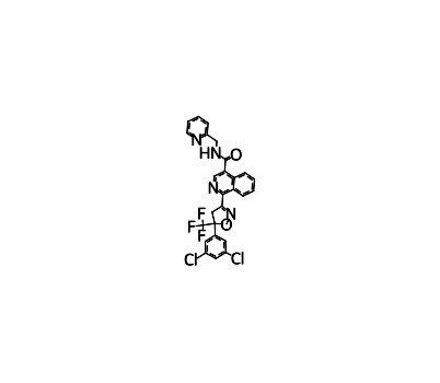 O=C(NCc1ccccn1)c1cnc(C2=NOC(c3cc(Cl)cc(Cl)c3)(C(F)(F)F)C2)c2ccccc12